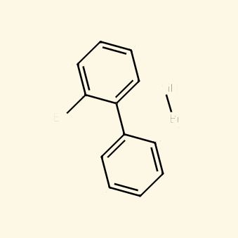 CCc1ccccc1-c1ccccc1.[SiH3]Br